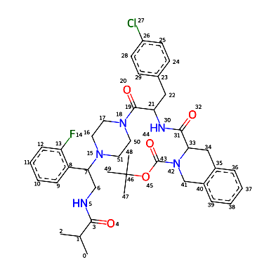 CC(C)C(=O)NCC(c1ccccc1F)N1CCN(C(=O)C(Cc2ccc(Cl)cc2)NC(=O)C2Cc3ccccc3CN2C(=O)OC(C)(C)C)CC1